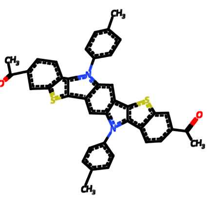 CC(=O)c1ccc2c(c1)sc1c3cc4c(cc3n(-c3ccc(C)cc3)c21)c1sc2cc(C(C)=O)ccc2c1n4-c1ccc(C)cc1